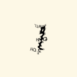 C[C@@H](CCCCNC(=O)CCc1ccc([124I])cc1)C(=O)O